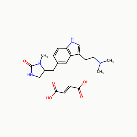 CN(C)CCc1c[nH]c2ccc(CC3CNC(=O)N3C)cc12.O=C(O)C=CC(=O)O